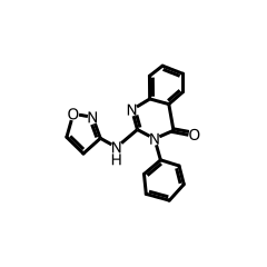 O=c1c2ccccc2nc(Nc2ccon2)n1-c1ccccc1